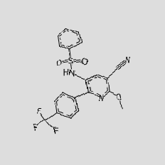 COc1nc(-c2ccc(C(F)(F)F)cc2)c(NS(=O)(=O)c2ccccc2)cc1C#N